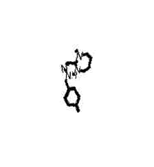 CC1CC=C(CN/N=C\C2N(C)CCCCN2C)CC1